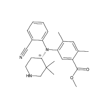 COC(=O)c1cc(N(c2ccccc2C#N)[C@H]2CCNCC2(C)C)c(C)cc1C